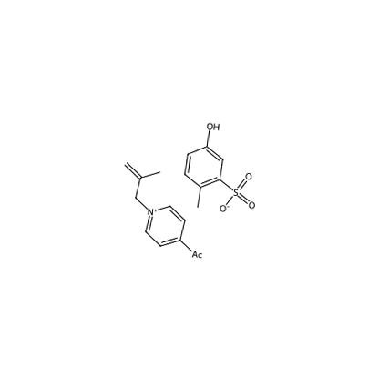 C=C(C)C[n+]1ccc(C(C)=O)cc1.Cc1ccc(O)cc1S(=O)(=O)[O-]